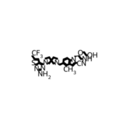 Cc1c(CN2CCC3(CCN(c4nc(N)nc5sc(CC(F)(F)F)cc45)C3)C2)ccc2c1cc(C#N)n2C[C@@H]1CNC(O)CO1